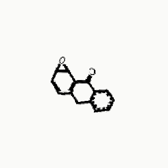 O=C1C2=C(C=CC3OC23)Cc2ccccc21